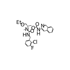 [CH2]COC[C@@H](COC(=O)Nc1cc2ccccc2cn1)N(C)C(=O)NCc1cccc(F)c1Cl